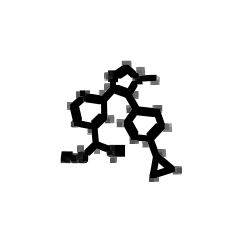 COC(O)c1ccnc(-c2ncn(C)c2-c2ccc(C3CC3)cc2)c1